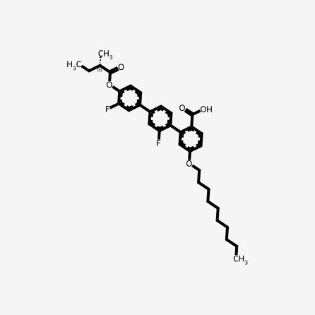 CCCCCCCCCCOc1ccc(C(=O)O)c(-c2ccc(-c3ccc(OC(=O)[C@@H](C)CC)c(F)c3)cc2F)c1